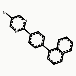 Brc1cnc(-c2ccc(-c3cccc4ccccc34)cc2)nc1